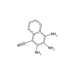 N#Cc1c(N)c(N)c(N)c2ccccc12